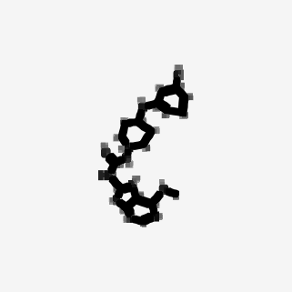 COc1ncnc2sc(NC(=O)ON3CCC(Oc4cccc(Cl)c4)CC3)nc12